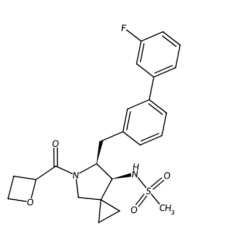 CS(=O)(=O)N[C@@H]1[C@H](Cc2cccc(-c3cccc(F)c3)c2)N(C(=O)C2CCO2)CC12CC2